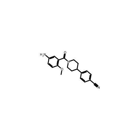 COc1ccc(N)cc1C(=O)N1CCC(c2ccc(C#N)cc2)CC1